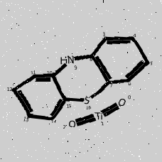 [O]=[Ti]=[O].[c]1cccc2c1Nc1ccccc1S2